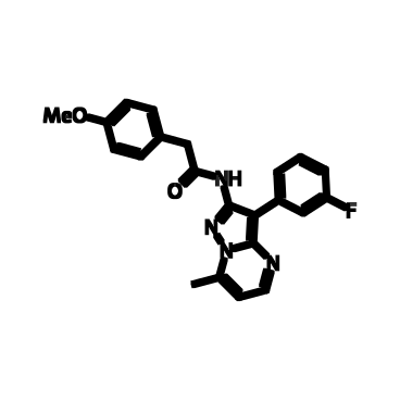 COc1ccc(CC(=O)Nc2nn3c(C)ccnc3c2-c2cccc(F)c2)cc1